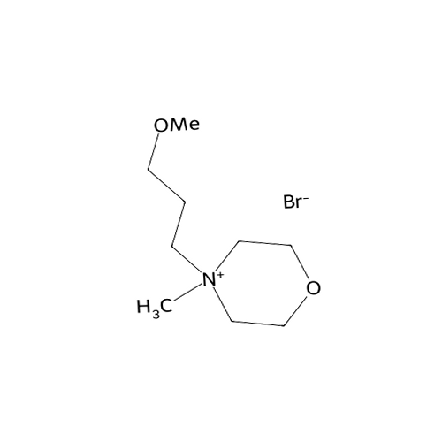 COCCC[N+]1(C)CCOCC1.[Br-]